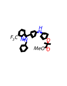 COC(=O)C(C)(C)Oc1ccc(Nc2ccc(-c3c4cccc(C(F)(F)F)c4nn3Cc3ccccc3)cc2)cc1